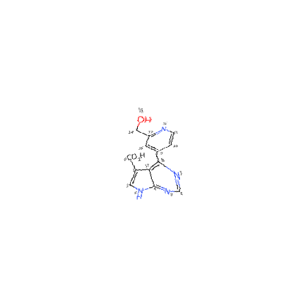 O=C(O)c1c[nH]c2ncnc(-c3ccnc(CO)c3)c12